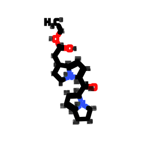 CCOC(=O)CC1CCn2c(C(=O)c3ccc4n3CCC4)ccc21